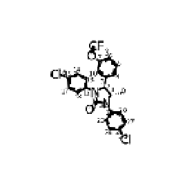 C[C@H]1[C@H](c2cccc(OC(F)(F)F)c2)N(c2ccc(Cl)cc2)C(=O)N1c1ccc(Cl)cc1